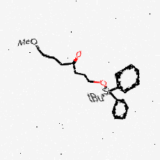 COCCCC(=O)CCCO[Si](c1ccccc1)(c1ccccc1)C(C)(C)C